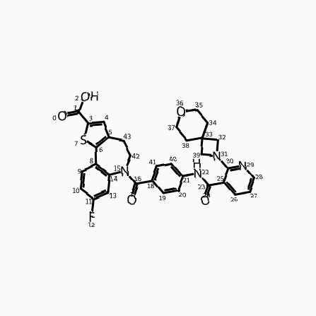 O=C(O)c1cc2c(s1)-c1ccc(F)cc1N(C(=O)c1ccc(NC(=O)c3cccnc3N3CC4(CCOCC4)C3)cc1)CC2